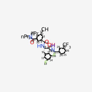 C#Cc1cc(C(=O)N[C@@H](Cc2cc(F)cc(F)c2)[C@H](O)CNCc2cccc(C(F)(F)F)c2)cc(C(=O)N(CCC)CCC)c1